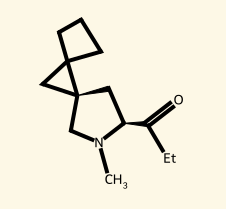 CCC(=O)[C@@H]1C[C@@]2(CN1C)CC21CCC1